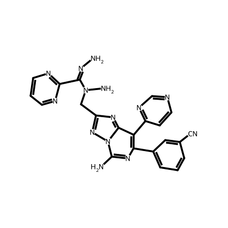 N#Cc1cccc(-c2nc(N)n3nc(CN(N)/C(=N\N)c4ncccn4)nc3c2-c2ccncn2)c1